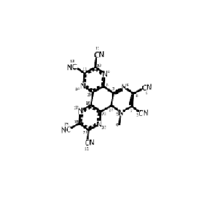 CN1C(C#N)=C(C#N)N=C2c3nc(C#N)c(C#N)nc3-c3nc(C#N)c(C#N)nc3C21